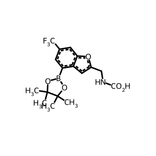 CC1(C)OB(c2cc(C(F)(F)F)cc3oc(CNC(=O)O)cc23)OC1(C)C